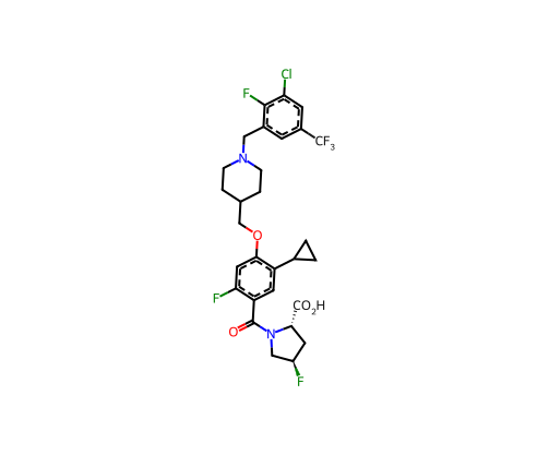 O=C(O)[C@@H]1C[C@@H](F)CN1C(=O)c1cc(C2CC2)c(OCC2CCN(Cc3cc(C(F)(F)F)cc(Cl)c3F)CC2)cc1F